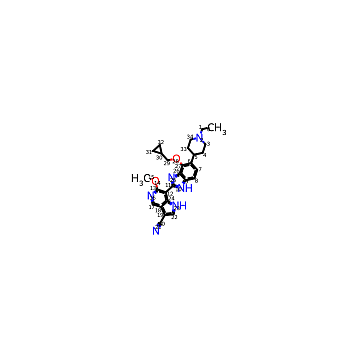 CCN1CCC(c2ccc3[nH]c(-c4c(OC)ncc5c(C#N)c[nH]c45)nc3c2OCC2CC2)CC1